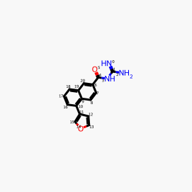 N=C(N)NC(=O)c1ccc2c(-c3ccoc3)cccc2c1